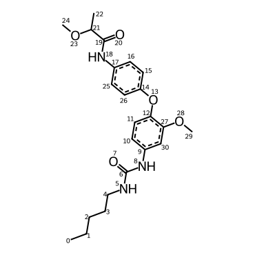 CCCCCNC(=O)Nc1ccc(Oc2ccc(NC(=O)C(C)OC)cc2)c(OC)c1